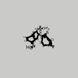 CS(=O)(=O)Nc1cc2c(cc1Oc1ccc(F)cc1F)C(=NO)CC2